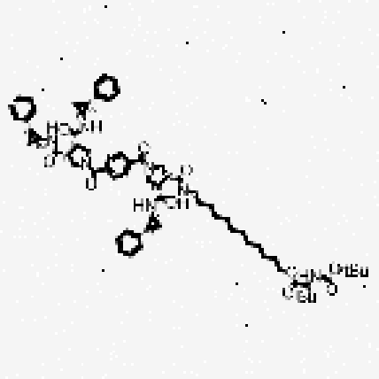 CC[C@H](C)[C@H](NC(=O)OC(C)(C)C)C(=O)OCCCCCCCCCCCCNC(=O)[C@@H]1CN(C(=O)c2ccc(C(=O)N3C[C@@H](C(=O)N[C@H]4C[C@@H]4c4ccccc4)[C@H](C(=O)N[C@H]4C[C@@H]4c4ccccc4)C3)cc2)C[C@H]1C(=O)N[C@H]1C[C@@H]1c1ccccc1